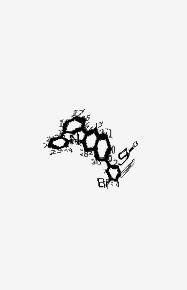 CSc1ccc(Br)cc1-c1ccc2cc3c4cccc5c6ccccc6n(c3cc2c1)c54